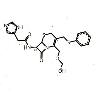 O=C(Cc1cnc[nH]1)N[C@@H]1C(=O)N2C(COCO)=C(CSc3ccccc3)CSC12